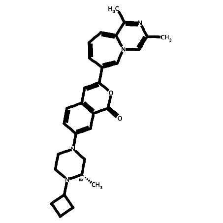 CC1=CN2C=C(c3cc4ccc(N5CCN(C6CCC6)[C@@H](C)C5)cc4c(=O)o3)C=CC=C2C(C)=N1